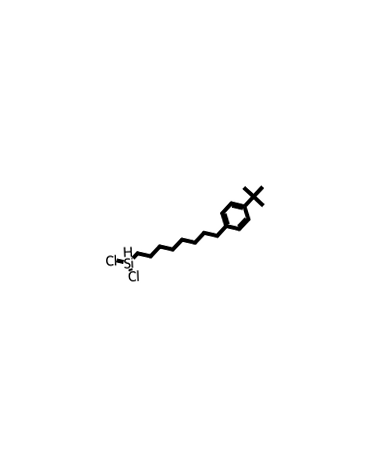 CC(C)(C)c1ccc(CCCCCCCC[SiH](Cl)Cl)cc1